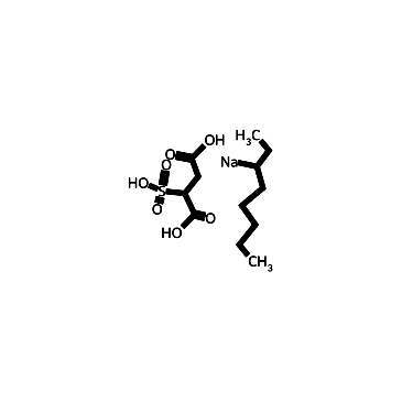 CCCCC[CH]([Na])CC.O=C(O)CC(C(=O)O)S(=O)(=O)O